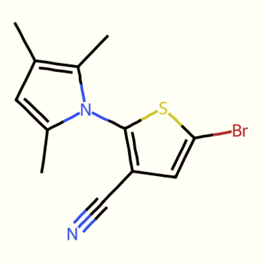 Cc1cc(C)n(-c2sc(Br)cc2C#N)c1C